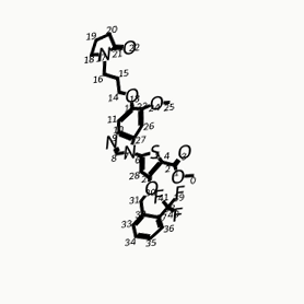 COC(=O)c1sc(-n2cnc3cc(OCCCN4CCCC4=O)c(OC)cc32)cc1OCc1ccccc1C(F)(F)F